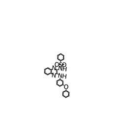 O=S(=O)(Nc1nc2ccccc2nc1Nc1cccc(Oc2ccccc2)c1)c1ccccc1